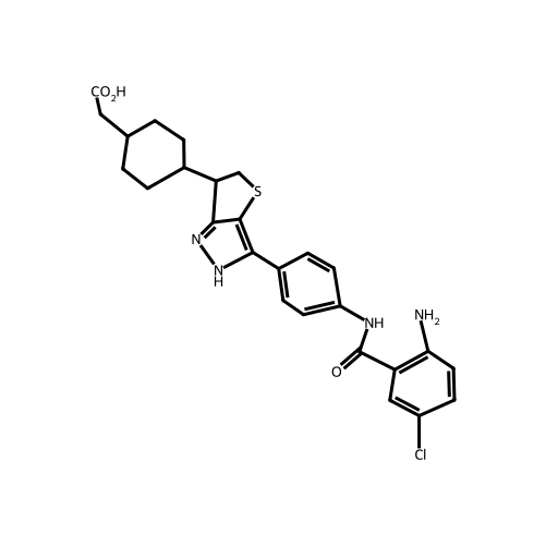 Nc1ccc(Cl)cc1C(=O)Nc1ccc(-c2[nH]nc3c2SCC3C2CCC(CC(=O)O)CC2)cc1